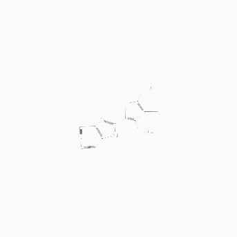 COc1sc(-c2nc3cnccc3[nH]2)c(OC)c1C.Cl